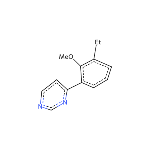 CCc1cccc(-c2ccncn2)c1OC